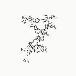 CCCCCCCCCCN(CCS(=O)(=O)N[C@@H](CCCCNC(=O)OC(C)(C)C)C(=O)N(C)[C@@H]1C(=O)N[C@@H](C)C(=O)N[C@H](C(=O)OC)Cc2ccc(OC(=O)OC(C)(C)C)c(c2)-c2cc1ccc2O)C(=O)OC(C)(C)C